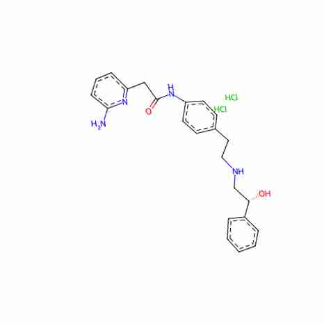 Cl.Cl.Nc1cccc(CC(=O)Nc2ccc(CCNC[C@H](O)c3ccccc3)cc2)n1